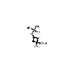 CC1(C(=O)O)CC(O[Si](C)(C)C(C)(C)C)C1